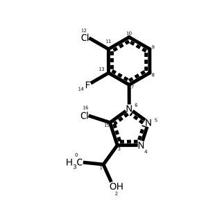 CC(O)c1nnn(-c2cccc(Cl)c2F)c1Cl